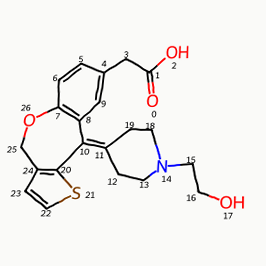 O=C(O)Cc1ccc2c(c1)C(=C1CCN(CCO)CC1)c1sccc1CO2